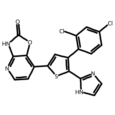 O=c1[nH]c2nccc(-c3cc(-c4ccc(Cl)cc4Cl)c(-c4ncc[nH]4)s3)c2o1